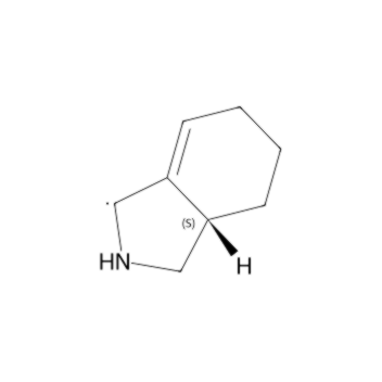 [CH]1NC[C@H]2CCCC=C12